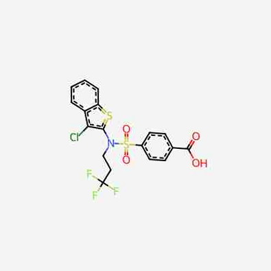 O=C(O)c1ccc(S(=O)(=O)N(CCC(F)(F)F)c2sc3ccccc3c2Cl)cc1